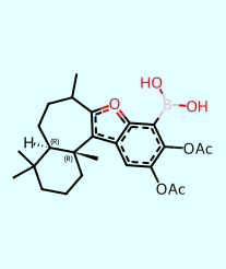 CC(=O)Oc1cc2c3c(oc2c(B(O)O)c1OC(C)=O)C(C)CC[C@@H]1C(C)(C)CCC[C@@]31C